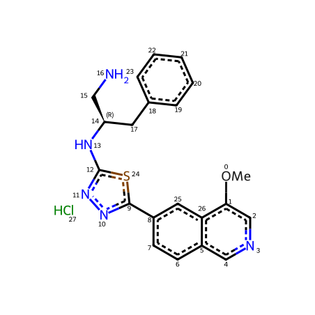 COc1cncc2ccc(-c3nnc(N[C@@H](CN)Cc4ccccc4)s3)cc12.Cl